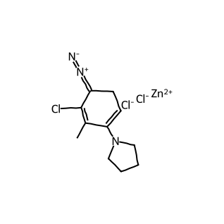 CC1=C(Cl)C(=[N+]=[N-])CC=C1N1CCCC1.[Cl-].[Cl-].[Zn+2]